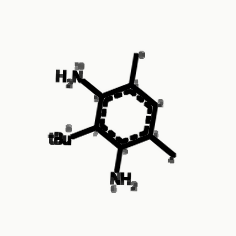 Cc1cc(C)c(N)c(C(C)(C)C)c1N